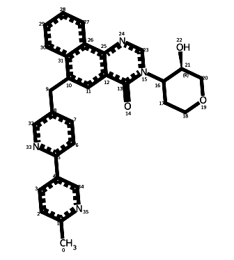 Cc1ccc(-c2ccc(Cc3cc4c(=O)n(C5CCOC[C@@H]5O)cnc4c4ccccc34)cn2)cn1